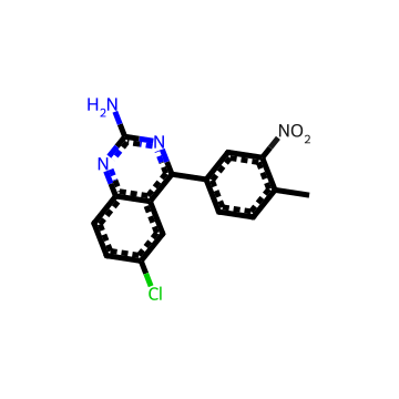 Cc1ccc(-c2nc(N)nc3ccc(Cl)cc23)cc1[N+](=O)[O-]